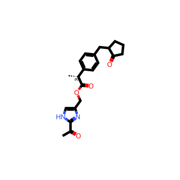 CC(=O)c1nc(COC(=O)[C@H](C)c2ccc(CC3CCCC3=O)cc2)c[nH]1